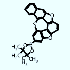 CC1(C)OB(c2cc3oc4ccc5oc6cc7ccccc7c7sc(c2)c3c4c5c67)OC1(C)C